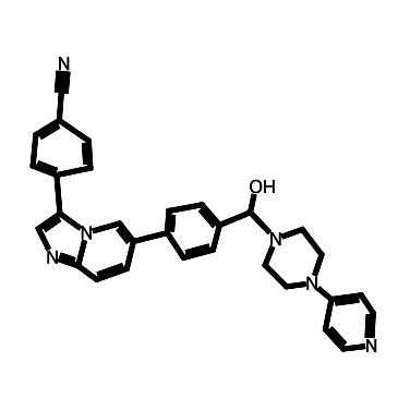 N#Cc1ccc(-c2cnc3ccc(-c4ccc(C(O)N5CCN(c6ccncc6)CC5)cc4)cn23)cc1